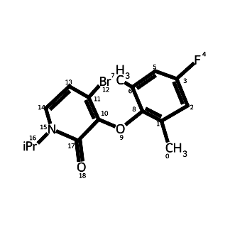 Cc1cc(F)cc(C)c1Oc1c(Br)ccn(C(C)C)c1=O